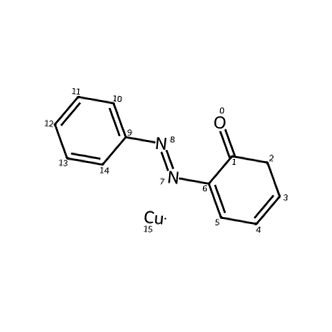 O=C1CC=CC=C1N=Nc1ccccc1.[Cu]